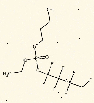 CCCCOP(=O)(OCC)OC(F)(F)C(F)(F)C(F)(F)CF